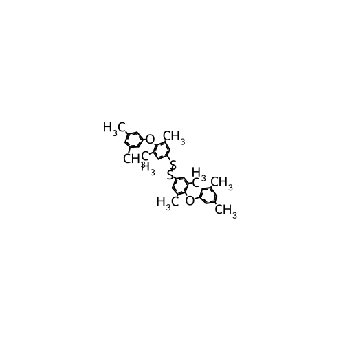 Cc1cc(C)cc(Oc2c(C)cc(SSc3cc(C)c(Oc4cc(C)cc(C)c4)c(C)c3)cc2C)c1